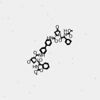 COC(=O)N[C@@H](C(=O)N1CC(=O)C[C@H]1C(=O)Nc1ccc(-c2ccc(NC(=O)[C@@H]3CC(=O)CN3C(=O)[C@H](NC(=O)OC)c3ccccc3)cc2)cc1)c1ccccc1